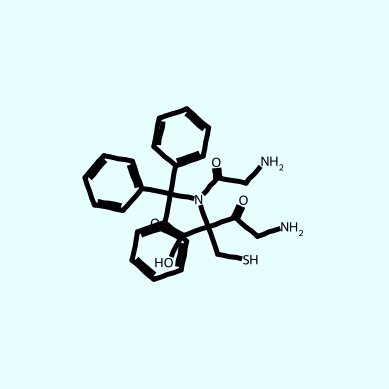 NCC(=O)N(C(CS)(C(=O)O)C(=O)CN)C(c1ccccc1)(c1ccccc1)c1ccccc1